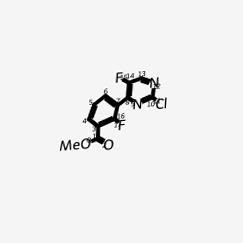 COC(=O)c1cccc(-c2nc(Cl)ncc2F)c1F